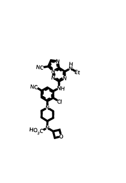 CCNc1nc(Nc2cc(C#N)cc(N3CCC(N(C(=O)O)C4COC4)CC3)c2Cl)nn2c(C#N)cnc12